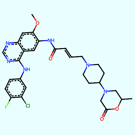 COc1cc2ncnc(Nc3ccc(F)c(Cl)c3)c2cc1NC(=O)C=CCN1CCC(N2CC(=O)OC(C)C2)CC1